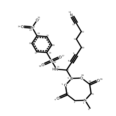 CN1CC(=O)OB(C(C#CCCCC#N)NS(=O)(=O)c2ccc([N+](=O)[O-])cc2)OC(=O)C1